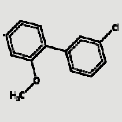 COc1c[c]ccc1-c1cccc(Cl)c1